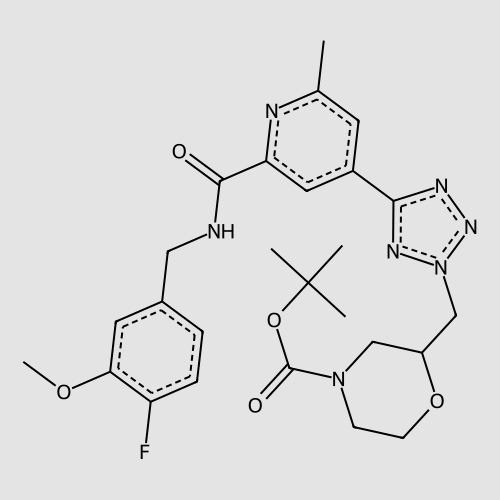 COc1cc(CNC(=O)c2cc(-c3nnn(CC4CN(C(=O)OC(C)(C)C)CCO4)n3)cc(C)n2)ccc1F